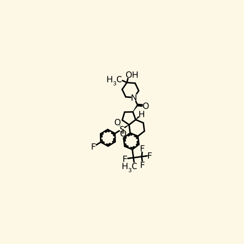 CC1(O)CCN(C(=O)[C@@H]2CC[C@@]3(S(=O)(=O)c4ccc(F)cc4)c4ccc(C(C)(F)C(F)(F)F)cc4CC[C@@H]23)CC1